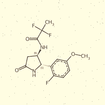 COc1ccc(F)c([C@@H]2NC(=O)C[C@H]2NC(=O)C(C)(F)F)c1